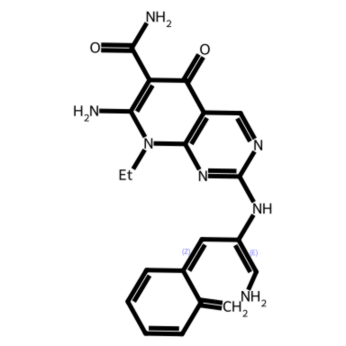 C=c1cccc/c1=C/C(=C\N)Nc1ncc2c(=O)c(C(N)=O)c(N)n(CC)c2n1